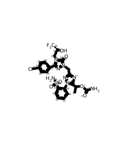 CC(OC(N)=O)c1nc(Cn2nc(-c3ccc(Cl)cc3)n(C[C@H](O)C(F)(F)F)c2=O)nn1-c1ccccc1S(N)(=O)=O